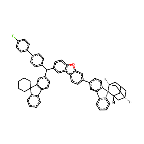 Fc1ccc(-c2ccc(C(c3ccc4c(c3)C3(CCCCC3)c3ccccc3-4)c3ccc4oc5cc(-c6ccc7c(c6)-c6ccccc6[C@]76[C@@H]7CC8C[C@@H](C7)C[C@@H]6C8)ccc5c4c3)cc2)cc1